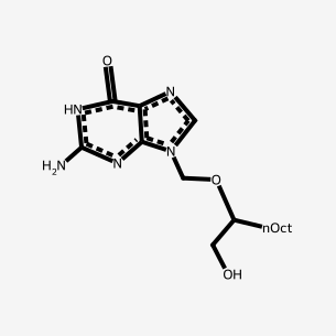 CCCCCCCCC(CO)OCn1cnc2c(=O)[nH]c(N)nc21